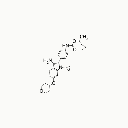 CC(OC(=O)Nc1ccc(-c2c(N)c3ccc(OC4CCOCC4)cc3n2C2CC2)cc1)C1CC1